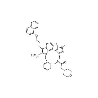 CCOC(=O)c1c(CCCOc2cccc3ccccc23)c2cccc3c2n1Cc1ccccc1CN(C(=O)CC1CCOCC1)Cc1nn(C)c(C)c1-3